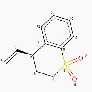 C=C[C@@H]1CCS(=O)(=O)c2ccccc21